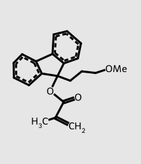 C=C(C)C(=O)OC1(CCCOC)c2ccccc2-c2ccccc21